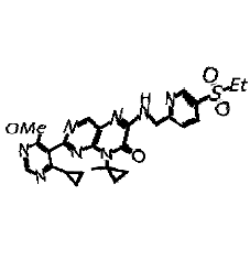 CCS(=O)(=O)c1ccc(CNc2nc3cnc(-c4c(OC)ncnc4C4CC4)nc3n(C3(C)CC3)c2=O)nc1